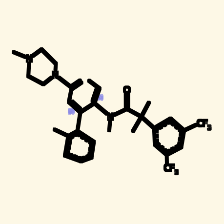 C=C(/C=C(\C(=C/C)N(C)C(=O)C(C)(C)c1cc(C(F)(F)F)cc(C(F)(F)F)c1)c1ccccc1C)N1CCN(C)CC1